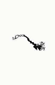 CCCCCCCCCCCCCCCCCCCN1C=CN(C(C)C)C1C(C)C